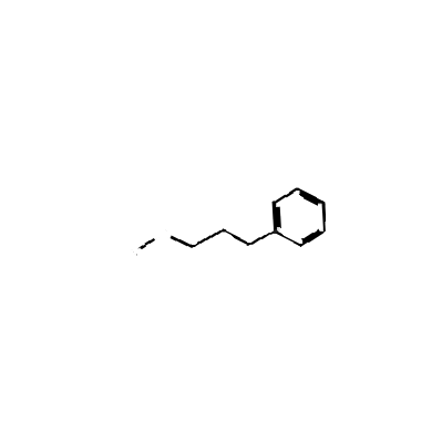 O=[N+]([O-])OCCCc1ccccc1